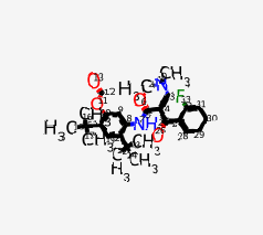 CN(C)/C=C(\C(=O)Nc1cc(OC=O)c(C(C)(C)C)cc1C(C)(C)C)C(=O)C1=CCCC=C1F